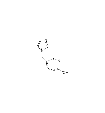 Oc1ccc(Cn2ccnc2)cn1